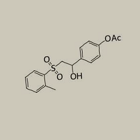 CC(=O)Oc1ccc(C(O)CS(=O)(=O)c2ccccc2C)cc1